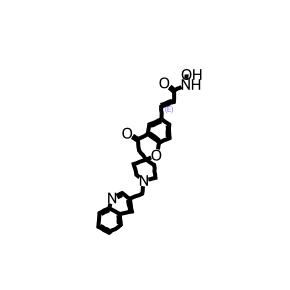 O=C(/C=C/c1ccc2c(c1)C(=O)CC1(CCN(Cc3cnc4ccccc4c3)CC1)O2)NO